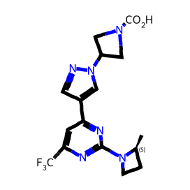 C[C@H]1CCN1c1nc(-c2cnn(C3CN(C(=O)O)C3)c2)cc(C(F)(F)F)n1